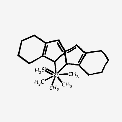 [CH3][Zr]([CH3])([CH3])([CH3])(=[SiH2])([CH]1C=CC2=C1CCCC2)[CH]1C=CC2=C1CCCC2